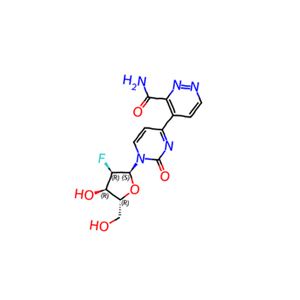 NC(=O)c1nnccc1-c1ccn([C@H]2O[C@H](CO)[C@@H](O)[C@H]2F)c(=O)n1